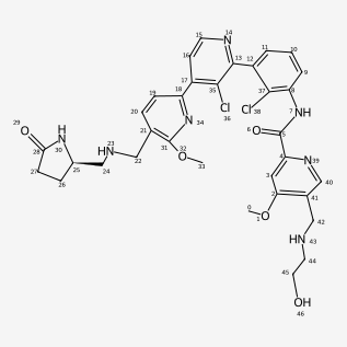 COc1cc(C(=O)Nc2cccc(-c3nccc(-c4ccc(CNC[C@H]5CCC(=O)N5)c(OC)n4)c3Cl)c2Cl)ncc1CNCCO